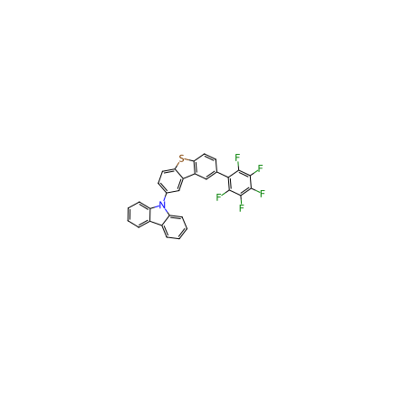 Fc1c(F)c(F)c(-c2ccc3sc4ccc(-n5c6ccccc6c6ccccc65)cc4c3c2)c(F)c1F